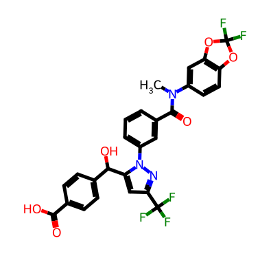 CN(C(=O)c1cccc(-n2nc(C(F)(F)F)cc2C(O)c2ccc(C(=O)O)cc2)c1)c1ccc2c(c1)OC(F)(F)O2